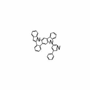 c1ccc(-c2cncc(-n3c4ccccc4c4cc5c(cc43)c3ccccc3c3cc4ccccc4n35)c2)cc1